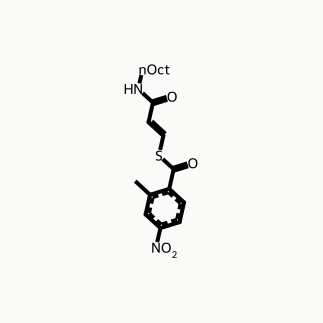 CCCCCCCCNC(=O)C=CSC(=O)c1ccc([N+](=O)[O-])cc1C